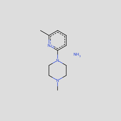 Cc1cccc(N2CCN(C)CC2)n1.N